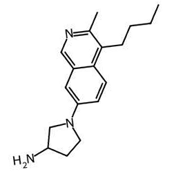 CCCCc1c(C)ncc2cc(N3CCC(N)C3)ccc12